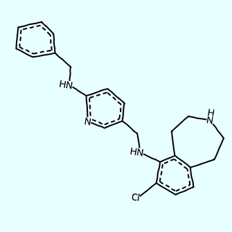 Clc1ccc2c(c1NCc1ccc(NCc3ccccc3)nc1)CCNCC2